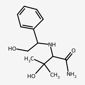 CC(C)(O)C(NC(CO)c1ccccc1)C(N)=O